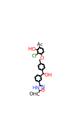 CC(=O)c1ccc(OCc2ccc(C(O)c3cccc(C4=NOC(C=O)N4)c3)cc2)c(Cl)c1O